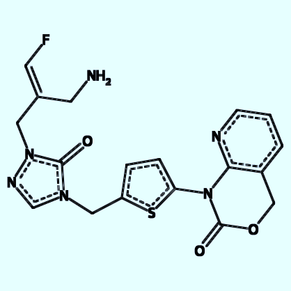 NC/C(=C\F)Cn1ncn(Cc2ccc(N3C(=O)OCc4cccnc43)s2)c1=O